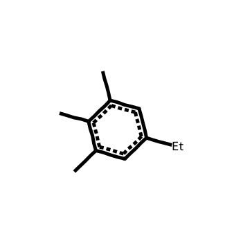 CCc1cc(C)c(C)c(C)c1